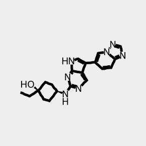 CC[C@]1(O)CC[C@@H](Nc2ncc3c(-c4ccc5ncnn5c4)c[nH]c3n2)CC1